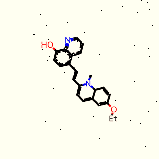 CCOC1=CC2=CC=C(C=Cc3ccc(O)c4ncccc34)N(C)C2C=C1